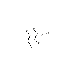 [Co+2].[S-]SS[S-].[S-]SS[S-].[Zn+2]